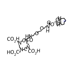 O=C(O)CN1CCN(CC(=O)O)CCN(CC(=O)NCCOCCOCCNC(=O)OC[C@H]2O[C@H]3CC/C=C/CC[C@H]3O2)CCN(CC(=O)O)CC1